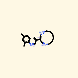 C=C(/C=N\c1ccc(C)cc1C)C1=C/NCCCCCC/N=C\1